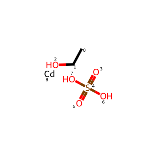 CCO.O=S(=O)(O)O.[Cd]